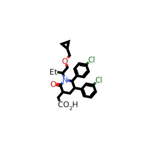 CCC(COCC1CC1)N1C(=O)C(CC(=O)O)CC(c2cccc(Cl)c2)C1c1ccc(Cl)cc1